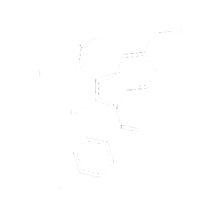 COc1ccc2c(c1)c(OC(C)=O)c(C)n2C(=O)c1ccc(Cl)cc1.[KH]